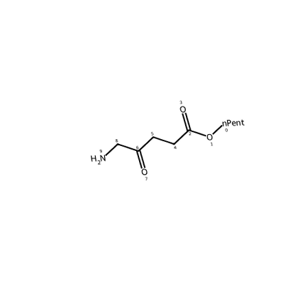 CCCCCOC(=O)CCC(=O)CN